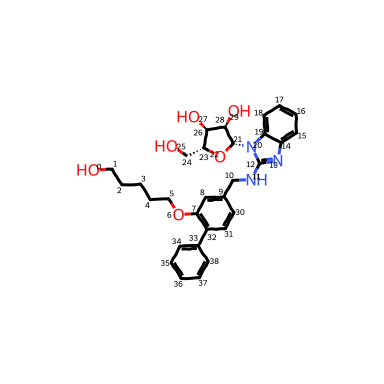 OCCCCCOc1cc(CNc2nc3ccccc3n2[C@@H]2O[C@H](CO)[C@@H](O)[C@H]2O)ccc1-c1ccccc1